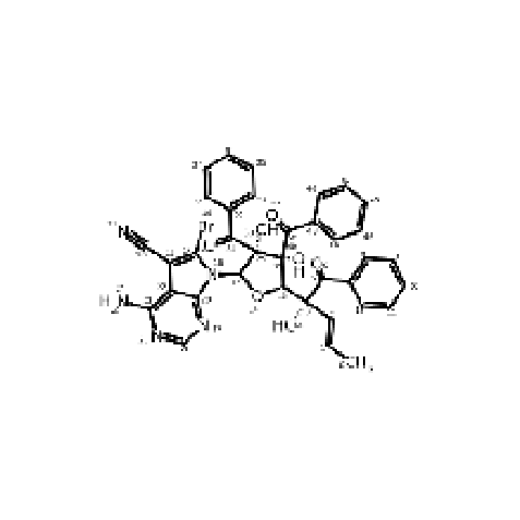 CC=C[C@](O)(C(=O)c1ccccc1)[C@H]1O[C@@H](n2c(Br)c(C#N)c3c(N)ncnc32)[C@@](O)(C(=O)c2ccccc2)[C@@]1(O)C(=O)c1ccccc1